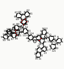 c1ccc(-c2ccccc2-c2ccc(N(c3cccc(-c4cccc5c4ccc4ccccc45)c3)c3ccccc3-c3ccc4oc5ccc(-c6ccc(N(c7ccc(-c8ccccc8-c8ccccc8-c8ccccc8)cc7)c7cccc(-c8cccc9c8ccc8ccccc89)c7)c(-c7ccc8c(c7)oc7ccccc78)c6)cc5c4c3)cc2)cc1